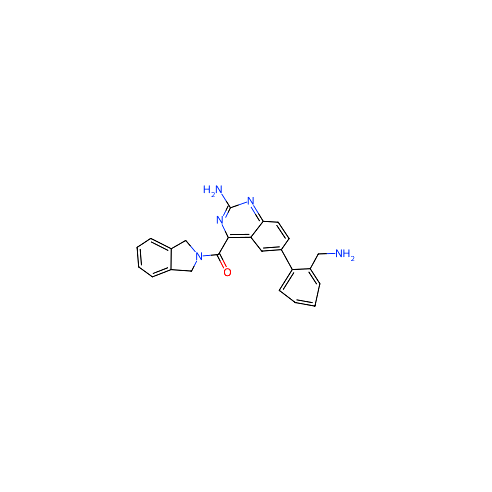 NCc1ccccc1-c1ccc2nc(N)nc(C(=O)N3Cc4ccccc4C3)c2c1